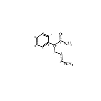 CC=CCN(C(C)=O)c1ccccc1